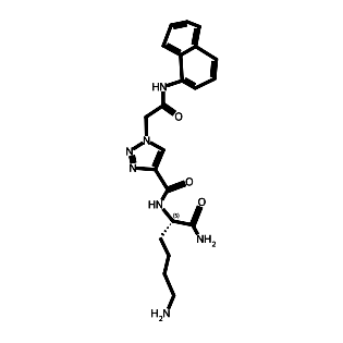 NCCCC[C@H](NC(=O)c1cn(CC(=O)Nc2cccc3ccccc23)nn1)C(N)=O